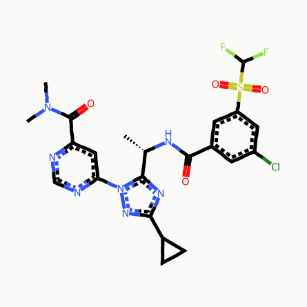 C[C@H](NC(=O)c1cc(Cl)cc(S(=O)(=O)C(F)F)c1)c1nc(C2CC2)nn1-c1cc(C(=O)N(C)C)ncn1